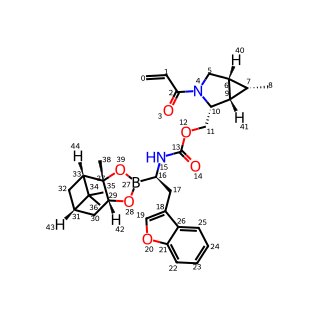 C=CC(=O)N1C[C@@H]2[C@H](C)[C@@H]2[C@@H]1COC(=O)N[C@@H](Cc1coc2ccccc12)B1O[C@@H]2C[C@@H]3C[C@@H](C3(C)C)[C@]2(C)O1